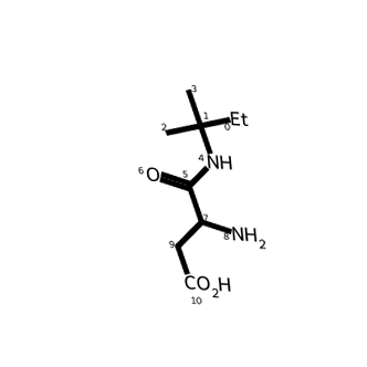 CCC(C)(C)NC(=O)C(N)CC(=O)O